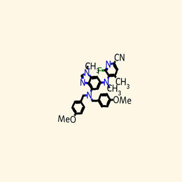 COc1ccc(CN(Cc2ccc(OC)cc2)c2cc(N(C)c3c(C)cc(C#N)nc3F)cc3c2ncn3C)cc1